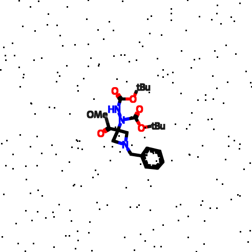 COC(=O)C1(N(NC(=O)OC(C)(C)C)C(=O)OC(C)(C)C)CN(Cc2ccccc2)C1